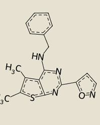 Cc1sc2nc(-c3ccno3)nc(NCc3ccccc3)c2c1C